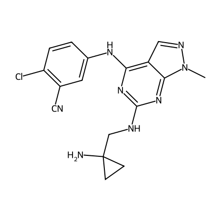 Cn1ncc2c(Nc3ccc(Cl)c(C#N)c3)nc(NCC3(N)CC3)nc21